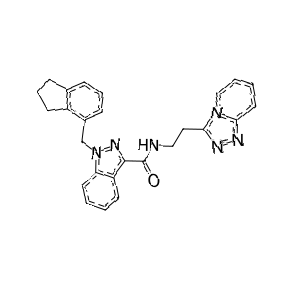 O=C(NCCc1nnc2ccccn12)c1nn(Cc2cccc3c2CCC3)c2ccccc12